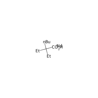 CCCCC(CC)(CC)C(=O)O.[Nd]